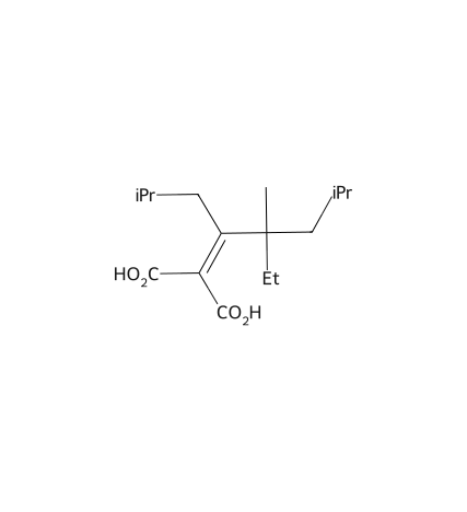 CCC(C)(CC(C)C)C(CC(C)C)=C(C(=O)O)C(=O)O